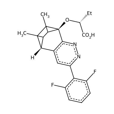 CC[C@@H](O[C@@]12CC[C@@H](c3cc(-c4c(F)cccc4F)nnc31)C(C)C2C)C(=O)O